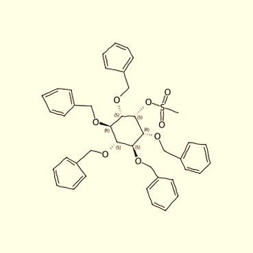 CS(=O)(=O)O[C@@H]1[C@H](OCc2ccccc2)[C@@H](OCc2ccccc2)[C@H](OCc2ccccc2)[C@@H](OCc2ccccc2)[C@@H]1OCc1ccccc1